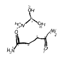 NC(=O)CCC(N)=O.NP(O)O